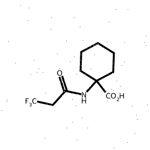 O=C(CC(F)(F)F)NC1(C(=O)O)CCCCC1